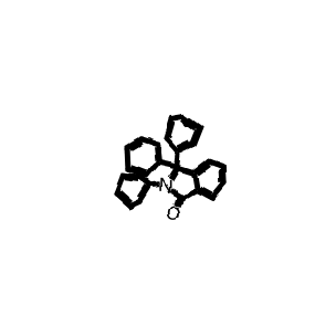 O=C1c2ccccc2C(c2ccccc2)(c2ccccc2)N1c1ccccc1